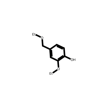 CCOCc1ccc(O)c(OCC)c1